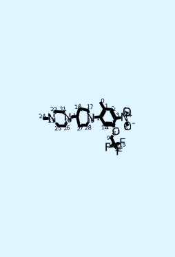 Cc1cc([N+](=O)[O-])c(OCC(F)(F)F)cc1N1CCC(N2CCN(C)CC2)CC1